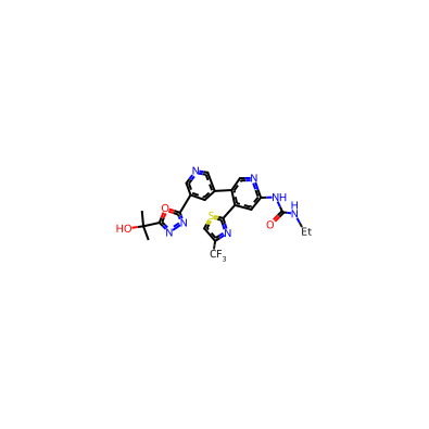 CCNC(=O)Nc1cc(-c2nc(C(F)(F)F)cs2)c(-c2cncc(-c3nnc(C(C)(C)O)o3)c2)cn1